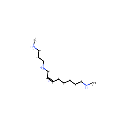 CCCNCCCCC/C=C\CNCCCNCC